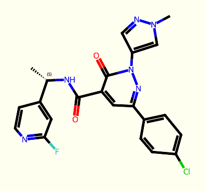 C[C@H](NC(=O)c1cc(-c2ccc(Cl)cc2)nn(-c2cnn(C)c2)c1=O)c1ccnc(F)c1